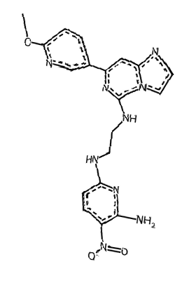 COc1ccc(-c2cc3nccn3c(NCCNc3ccc([N+](=O)[O-])c(N)n3)n2)cn1